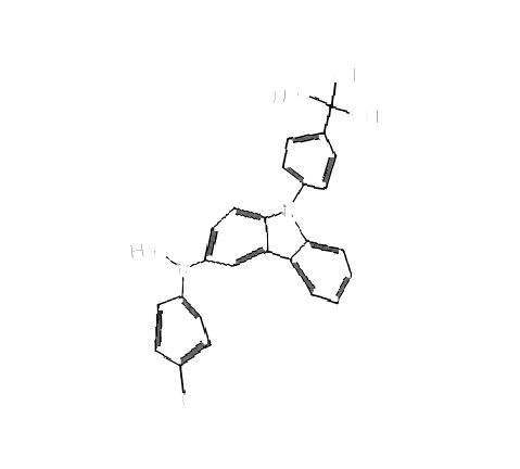 CN(c1ccc(F)cc1)c1ccc2c(c1)c1ccccc1n2-c1ccc(C(C)(C)C)cc1